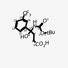 CC(C)(C)OC(=O)NC(O)(CCC(=O)O)c1cccc(C(F)(F)F)c1